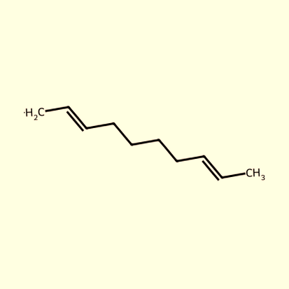 [CH2]/C=C/CCCC/C=C/C